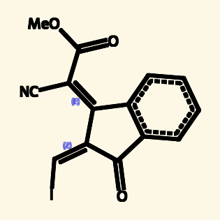 COC(=O)/C(C#N)=C1/C(=C/I)C(=O)c2ccccc21